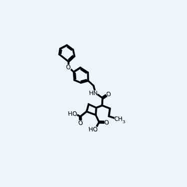 CCCC(C(=O)NCc1ccc(Oc2ccccc2)cc1)C1CC(C(=O)O)C1C(=O)O